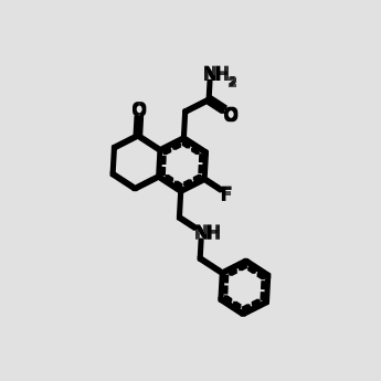 NC(=O)Cc1cc(F)c(CNCc2ccccc2)c2c1C(=O)CCC2